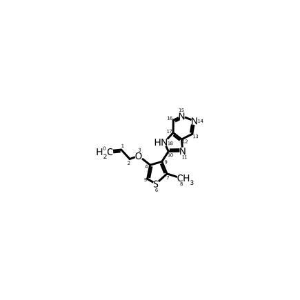 C=CCOc1csc(C)c1-c1nc2cnncc2[nH]1